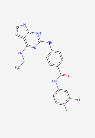 O=C(Nc1ccc(F)c(Cl)c1)c1ccc(Nc2nc(NCC(F)(F)F)c3ccnc-3[nH]2)cc1